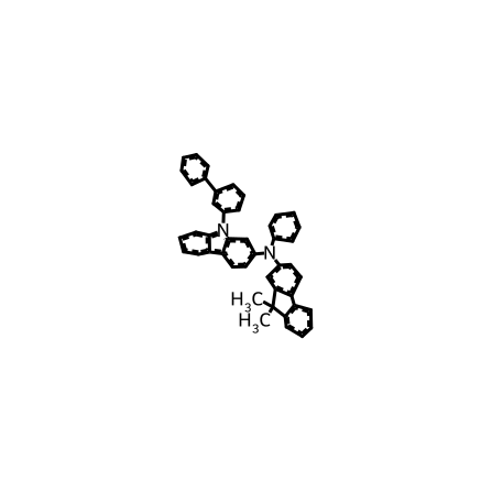 CC1(C)c2ccccc2-c2ccc(N(c3ccccc3)c3ccc4c5ccccc5n(-c5cccc(-c6ccccc6)c5)c4c3)cc21